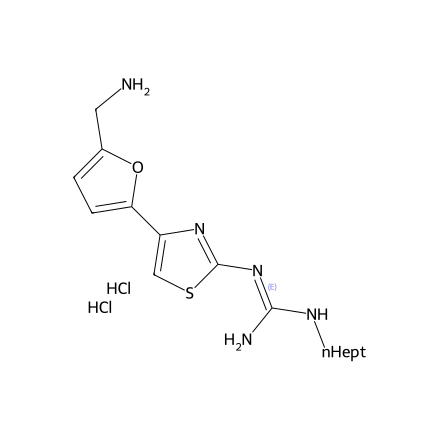 CCCCCCCN/C(N)=N/c1nc(-c2ccc(CN)o2)cs1.Cl.Cl